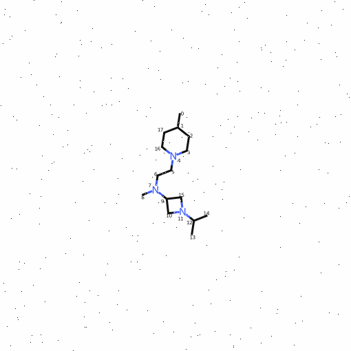 CC1CCN(CCN(C)C2CN(C(C)C)C2)CC1